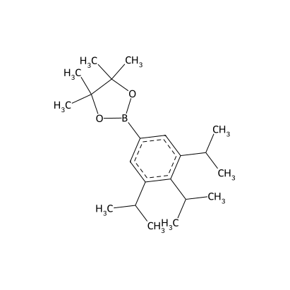 CC(C)c1cc(B2OC(C)(C)C(C)(C)O2)cc(C(C)C)c1C(C)C